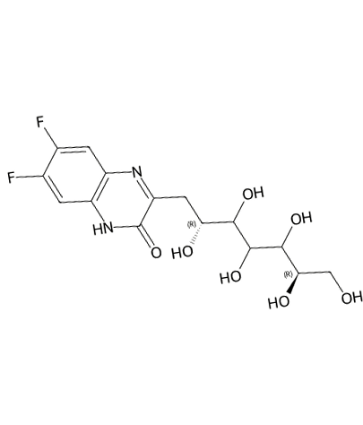 O=c1[nH]c2cc(F)c(F)cc2nc1C[C@@H](O)C(O)C(O)C(O)[C@H](O)CO